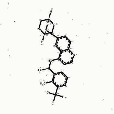 Cc1c([C@@H](C)Nc2ccnc3ccc(N4C[C@@H]5CC[C@H]4CO5)cc23)cccc1C(F)(F)F